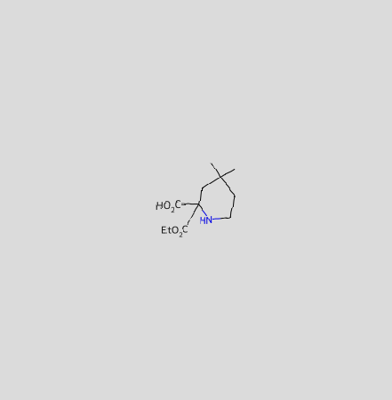 CCOC(=O)C1(C(=O)O)CC(C)(C)CCN1